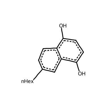 CCCCCCc1ccc2c(O)ccc(O)c2c1